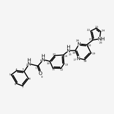 O=C(Nc1ccccc1)Nc1cccc(Nc2nccc(-c3ccc[nH]3)n2)c1